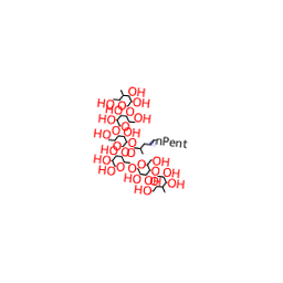 CCCCC/C=C/CC(C)C(=O)OC1C(OC2C(COC3OC(CO)C(OC4OC(CO)C(C)C(O)C4O)C(O)C3O)OC(O)C(O)C2O)OC(CO)C(OC2OC(CO)C(OC3OC(CO)C(C)C(O)C3O)C(O)C2O)C1O